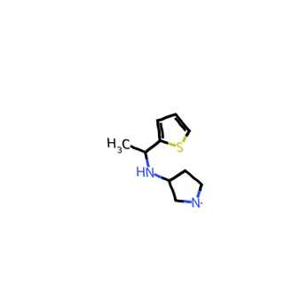 CC(NC1CC[N]C1)c1cccs1